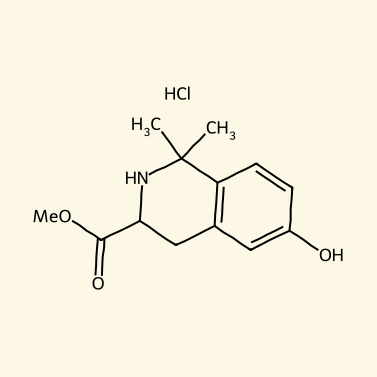 COC(=O)C1Cc2cc(O)ccc2C(C)(C)N1.Cl